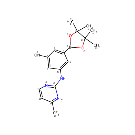 CC1(C)OB(c2cc(N=O)cc(Nc3nccc(C(F)(F)F)n3)c2)OC1(C)C